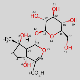 C[C@]1(O)CC[C@]2(O)C(C(=O)O)=CO[C@@H](O[C@@H]3O[C@H](CO)[C@@H](O)[C@H](O)[C@H]3O)[C@H]12